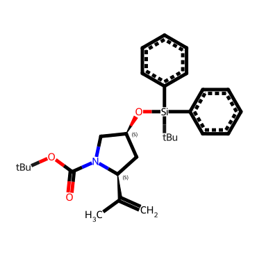 C=C(C)[C@@H]1C[C@H](O[Si](c2ccccc2)(c2ccccc2)C(C)(C)C)CN1C(=O)OC(C)(C)C